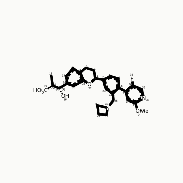 COc1cc(-c2ccc(C3CCc4ccc([C@H](O)[C@H](C)C(=O)O)cc4O3)cc2CN2CCC2)c(F)cn1